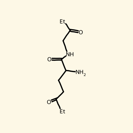 CCC(=O)CCC(N)C(=O)NCC(=O)CC